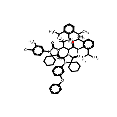 Cc1cc(N2C(=O)N(C(C(=O)Nc3c(C(C)C)cccc3C(C)C)C(C(=O)Nc3c(C(C)C)cccc3C(C)C)N3C(=O)N(c4cccc(Oc5ccccc5)c4)C4(CCCCC4)C3=O)C(=O)C23CCCCC3)ccc1Cl